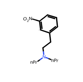 CCCN(CCC)CCc1[c]c([N+](=O)[O-])ccc1